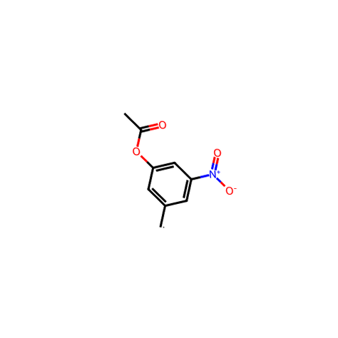 [CH2]c1cc(OC(C)=O)cc([N+](=O)[O-])c1